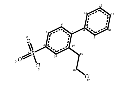 O=S(=O)(Cl)c1ccc(-c2ccccc2)c(CCCl)c1